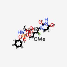 COC(COP(=O)(N[C@@H](C)C(=O)OC(C)C)Oc1ccccc1)[C@H](O)C(F)Cn1ccc(=O)[nH]c1=O